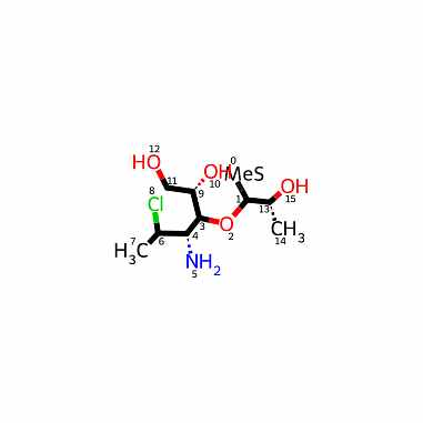 CSC(OC([C@H](N)C(C)Cl)[C@@H](O)CO)[C@@H](C)O